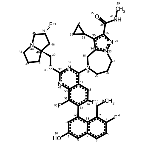 CCc1c(F)ccc2cc(O)cc(-c3c(F)cc4c(N5CCCn6nc(C(=O)NC)c(C7CC7)c6C5)nc(OC[C@@]56CCCN5C[C@H](F)C6)nc4c3F)c12